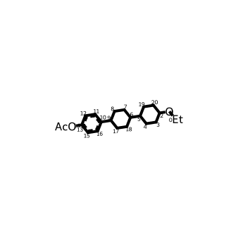 CCOC1CCC(C2CCC(c3ccc(OC(C)=O)cc3)CC2)CC1